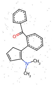 CN(C)C1=C(c2ccccc2C(=O)c2ccccc2)CC=C1